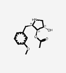 COc1cccc(C[C@H]2NC[C@H](O)[C@H]2OC(C)=O)c1